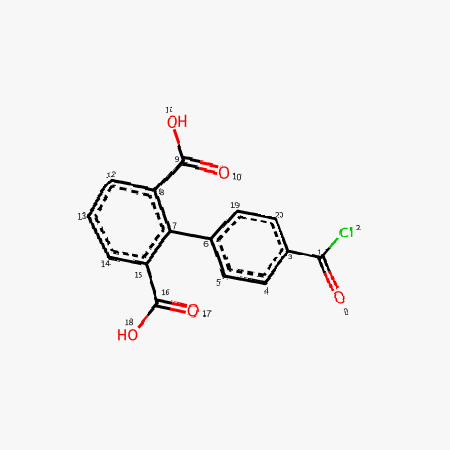 O=C(Cl)c1ccc(-c2c(C(=O)O)cccc2C(=O)O)cc1